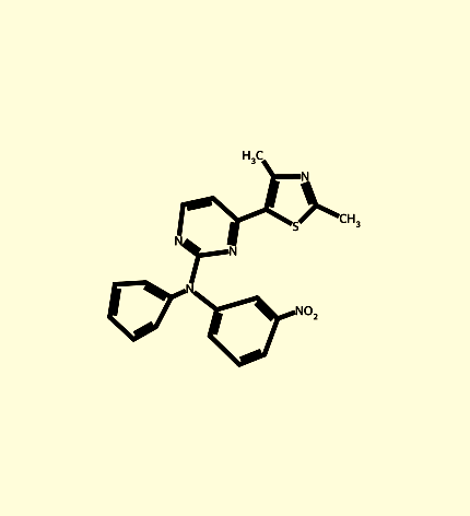 Cc1nc(C)c(-c2ccnc(N(c3ccccc3)c3cccc([N+](=O)[O-])c3)n2)s1